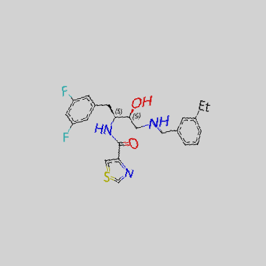 CCc1cccc(CNC[C@H](O)[C@H](Cc2cc(F)cc(F)c2)NC(=O)c2cscn2)c1